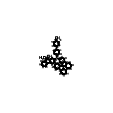 Cc1ccc(C2=CC=C(N(C3=CCC4C(=C3)C(C)(C)c3ccccc34)C3=CCC4C(=C3)[C@]3(C5C=CC=CC5C5C=CCCC53)C3C=CCCC43)CC2)cc1